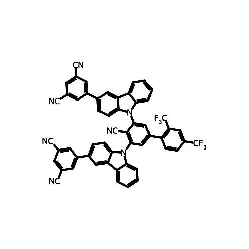 N#Cc1cc(C#N)cc(-c2ccc3c(c2)c2ccccc2n3-c2cc(-c3ccc(C(F)(F)F)cc3C(F)(F)F)cc(-n3c4ccccc4c4cc(-c5cc(C#N)cc(C#N)c5)ccc43)c2C#N)c1